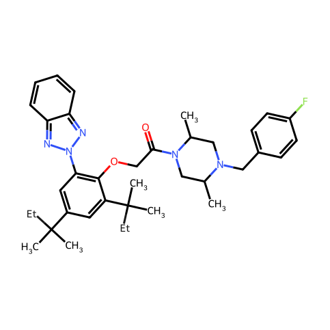 CCC(C)(C)c1cc(-n2nc3ccccc3n2)c(OCC(=O)N2CC(C)N(Cc3ccc(F)cc3)CC2C)c(C(C)(C)CC)c1